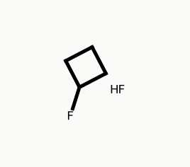 F.FC1CCC1